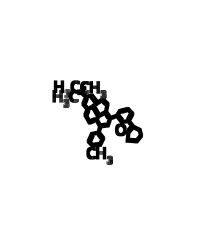 Cc1ccc(-c2cc(-c3cccc4c5c(oc34)C=CCC5)c3ccc4cc(C(C)(C)C)cc5ccc2c3c54)cc1